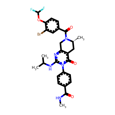 CNC(=O)c1ccc(-n2c(NC(C)C)nc3c(c2=O)C[C@@H](C)N(C(=O)c2ccc(OC(F)F)c(Br)c2)C3)cc1